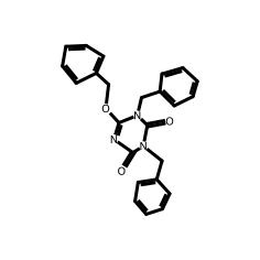 O=c1nc(OCc2ccccc2)n(Cc2ccccc2)c(=O)n1Cc1ccccc1